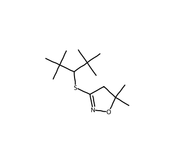 CC1(C)CC(SC(C(C)(C)C)C(C)(C)C)=NO1